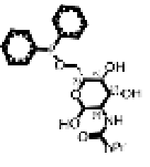 CCCC(=O)N[C@H]1C(O)O[C@H](COP(c2ccccc2)c2ccccc2)[C@@H](O)[C@@H]1O